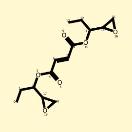 CCC(OC(=O)/C=C/C(=O)OC(CC)C1CO1)C1CO1